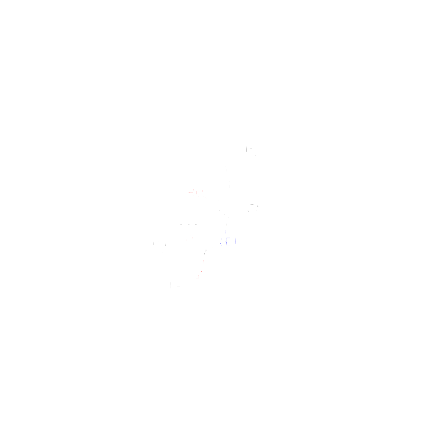 C=CCC(O)(CC=C)[C@H](CC)NC(=O)OC(C)(C)C